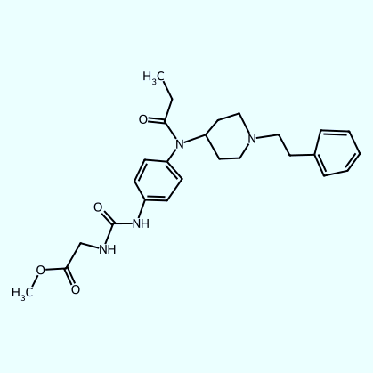 CCC(=O)N(c1ccc(NC(=O)NCC(=O)OC)cc1)C1CCN(CCc2ccccc2)CC1